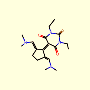 CCN1C(=O)C(=C2/C(=C/N(C)C)CC/C2=C\N(C)C)C(=O)N(CC)C1=S